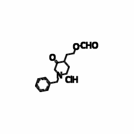 Cl.O=COCCC1CCN(Cc2ccccc2)CC1=O